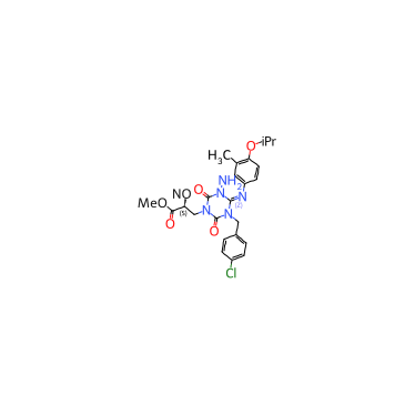 COC(=O)[C@H](Cn1c(=O)n(N)/c(=N\c2ccc(OC(C)C)c(C)c2)n(Cc2ccc(Cl)cc2)c1=O)N=O